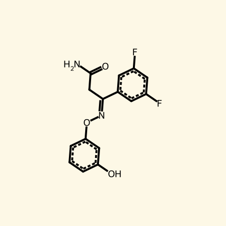 NC(=O)C/C(=N\Oc1cccc(O)c1)c1cc(F)cc(F)c1